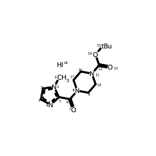 Cn1ccnc1C(=O)N1CCN(C(=O)OC(C)(C)C)CC1.I